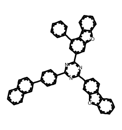 c1ccc(-c2cc(-c3nc(-c4ccc(-c5ccc6ccccc6c5)cc4)nc(-c4ccc5c(c4)oc4ccccc45)n3)cc3oc4ccccc4c23)cc1